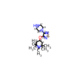 CN1C(C)(C)CC(Oc2nsnc2N2CCNCC2)CC1(C)C